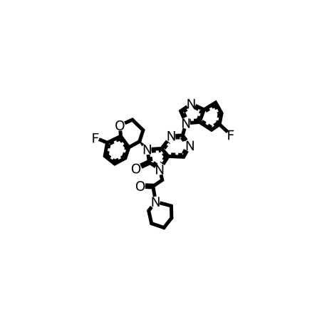 O=C(Cn1c(=O)n([C@@H]2CCOc3c(F)cccc32)c2nc(-n3cnc4ccc(F)cc43)ncc21)N1CCCCC1